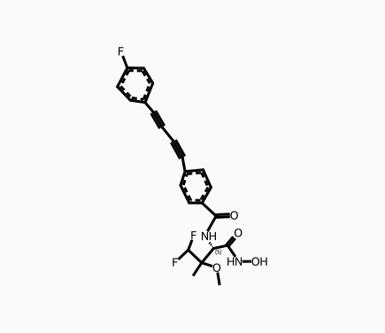 COC(C)(C(F)F)[C@H](NC(=O)c1ccc(C#CC#Cc2ccc(F)cc2)cc1)C(=O)NO